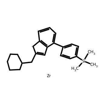 C[Si](C)(C)c1ccc(-c2cccc3c2C=C(CC2CCCCC2)[CH]3)cc1.[Zr]